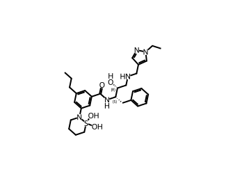 CCCc1cc(C(=O)N[C@@H](Cc2ccccc2)[C@H](O)CNCc2cnn(CC)c2)cc(N2CCCCS2(O)O)c1